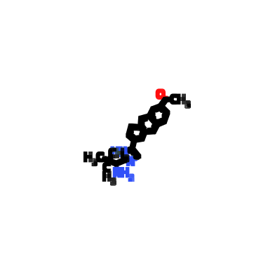 CC(=O)c1ccc2cc3cc(-c4cnc([C@@H](N)C(C)(C)C)[nH]4)ccc3cc2c1